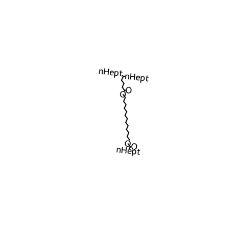 CCCCCCCC(=O)OCCCCCCCCCCCCCOC(=O)CCCC(CCCCCCC)CCCCCCC